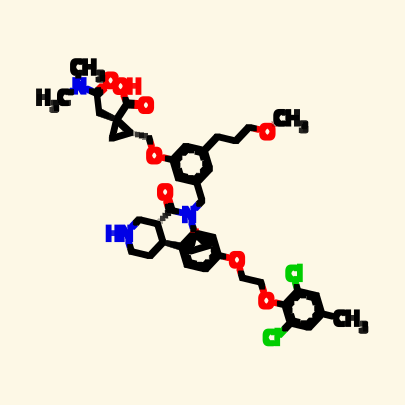 COCCCc1cc(CN(C(=O)[C@H]2CNCC[C@@H]2c2ccc(OCCOc3c(Cl)cc(C)cc3Cl)cc2)C2CC2)cc(OC[C@@H]2C[C@]2(CC(=O)N(C)C)C(=O)O)c1